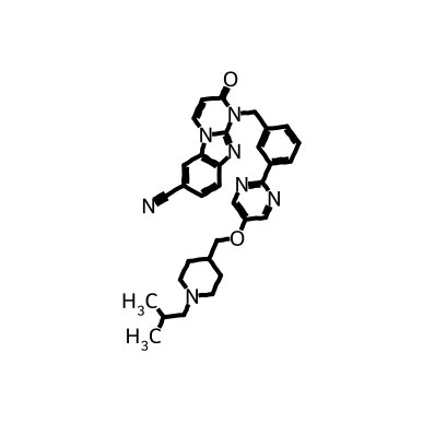 CC(C)CN1CCC(COc2cnc(-c3cccc(Cn4c(=O)ccn5c6cc(C#N)ccc6nc45)c3)nc2)CC1